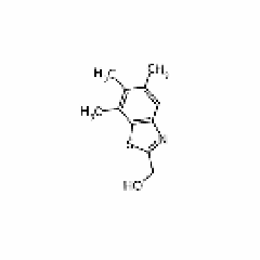 Cc1cc2nc(CO)sc2c(C)c1C